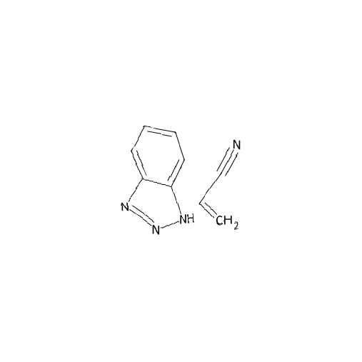 C=CC#N.c1ccc2[nH]nnc2c1